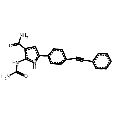 NC(=O)Nc1[nH]c(-c2ccc(C#Cc3ccccc3)cc2)cc1C(N)=O